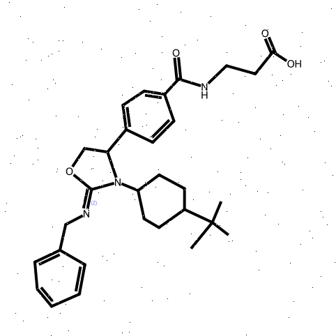 CC(C)(C)C1CCC(N2/C(=N/Cc3ccccc3)OCC2c2ccc(C(=O)NCCC(=O)O)cc2)CC1